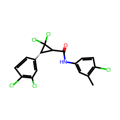 Cc1cc(NC(=O)C2[C@H](c3ccc(Cl)c(Cl)c3)C2(Cl)Cl)ccc1Cl